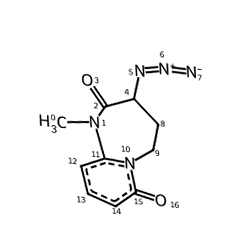 CN1C(=O)C(N=[N+]=[N-])CCn2c1cccc2=O